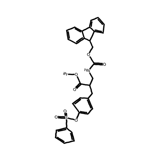 CC(C)OC(=O)C(CNC(=O)OCC1c2ccccc2-c2ccccc21)Cc1ccc(OS(=O)(=O)c2ccccc2)cc1